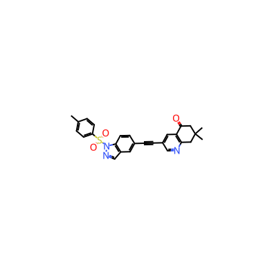 Cc1ccc(S(=O)(=O)n2ncc3cc(C#Cc4cnc5c(c4)C(=O)CC(C)(C)C5)ccc32)cc1